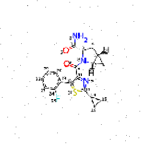 NC(=O)[C@@H]1C[C@@H]2C[C@@H]2N1C(=O)c1nc(C2CC2)sc1-c1ccccc1F